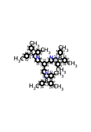 Cc1ccc(B(/C(=C/c2ccc(-c3cc(-c4ccc(/C=C(/B(c5ccc(C)cc5)c5ccc(C)cc5)c5ccc(C)cc5)nc4)cc(-c4ccc(/C=C(/B(c5ccc(C)cc5)c5ccc(C)cc5)c5ccc(C)cc5)nc4)c3)cn2)c2ccc(C)cc2)c2ccc(C)cc2)cc1